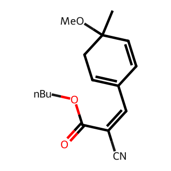 CCCCOC(=O)C(C#N)=CC1=CCC(C)(OC)C=C1